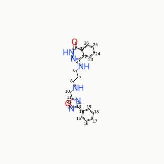 O=c1[nH]nc(NCCCNCc2nc(-c3ccccc3)no2)c2ccccc12